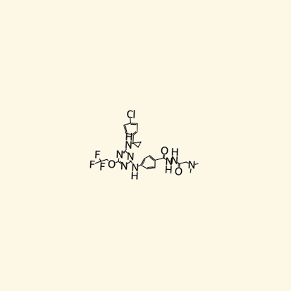 CN(C)CC(=O)NNC(=O)c1ccc(Nc2nc(NC3(c4ccc(Cl)cc4)CC3)nc(OCC(F)(F)F)n2)cc1